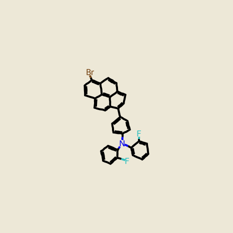 Fc1ccccc1N(c1ccc(-c2ccc3ccc4c(Br)ccc5ccc2c3c54)cc1)c1ccccc1F